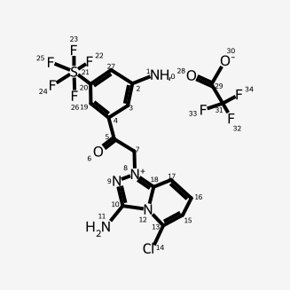 CNc1cc(C(=O)C[n+]2nc(N)n3c(Cl)cccc32)cc(S(F)(F)(F)(F)F)c1.O=C([O-])C(F)(F)F